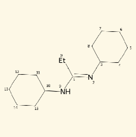 CC/C(=N\C1CCCCC1)NC1CCCCC1